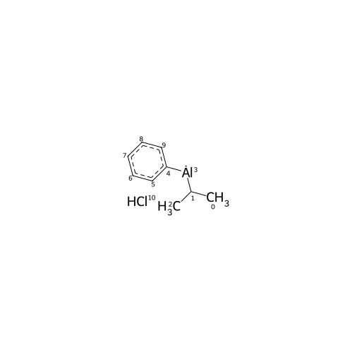 C[CH](C)[Al][c]1ccccc1.Cl